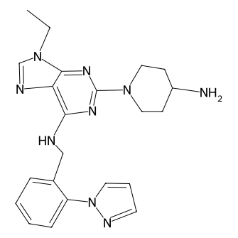 CCn1cnc2c(NCc3ccccc3-n3cccn3)nc(N3CCC(N)CC3)nc21